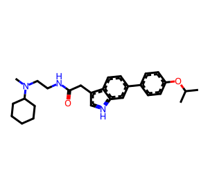 CC(C)Oc1ccc(-c2ccc3c(CC(=O)NCCN(C)C4CCCCC4)c[nH]c3c2)cc1